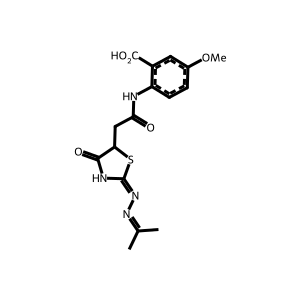 COc1ccc(NC(=O)CC2S/C(=N/N=C(C)C)NC2=O)c(C(=O)O)c1